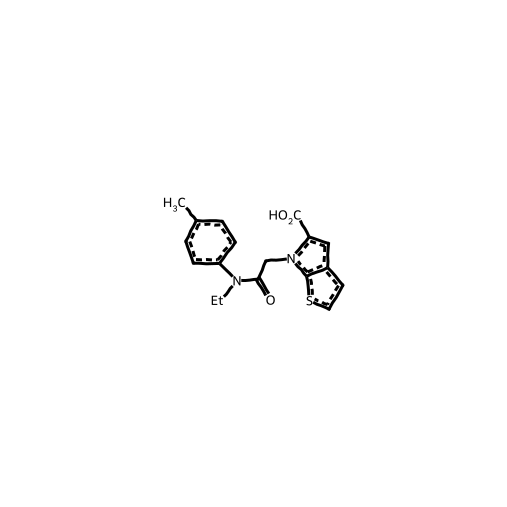 CCN(C(=O)Cn1c(C(=O)O)cc2ccsc21)c1ccc(C)cc1